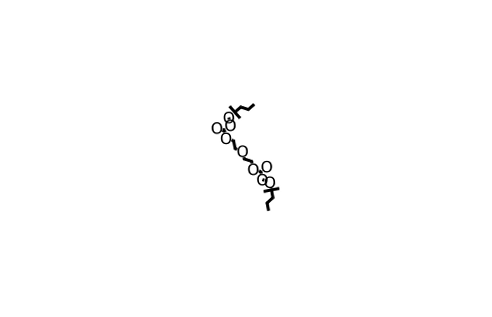 CCCC(C)(C)OOC(=O)OCCOCCOC(=O)OOC(C)(C)CCC